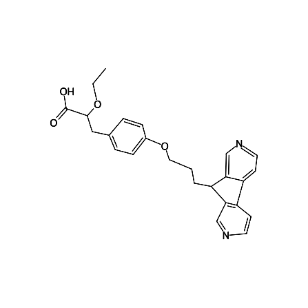 CCOC(Cc1ccc(OCCCC2c3cnccc3-c3ccncc32)cc1)C(=O)O